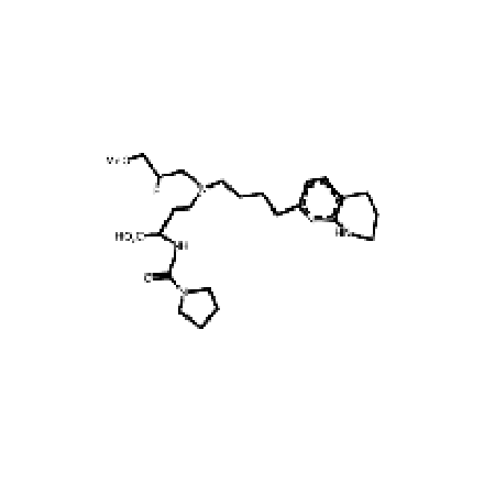 COCC(F)CN(CCCCc1ccc2c(n1)NCCC2)CCC(NC(=O)N1CCCC1)C(=O)O